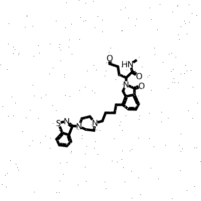 CNC(=O)C(CCC=O)N1Cc2c(CCCCN3CCN(c4nsc5ccccc45)CC3)cccc2C1=O